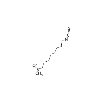 C[S@@+]([O-])CCCCCCCCN=C=S